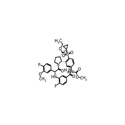 CCOC(=O)[C@H]1CCN(C(=O)[C@@H](Nc2cc(C(N)=O)ccc2F)c2ccc(F)c(OC)c2)[C@H]1c1cc(NC(=O)OC)ccc1S(=O)(=O)C1CC1